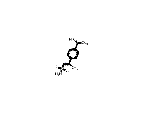 C/C(=C\S(N)(=O)=O)c1ccc(C(C)C)cc1